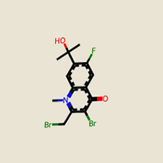 Cn1c(CBr)c(Br)c(=O)c2cc(F)c(C(C)(C)O)cc21